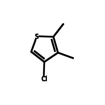 Cc1scc(Cl)c1C